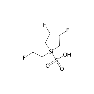 O=S(=O)(O)[Si](CCF)(CCF)CCF